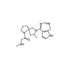 CNCC(=O)N1CCCC12CC(C)N(C1=NC=NCc3[nH]ccc31)C2